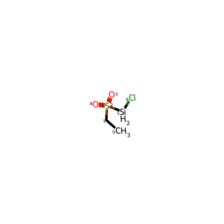 CCS(=O)(=O)[SiH2]Cl